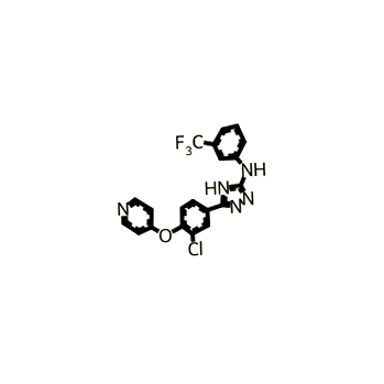 FC(F)(F)c1cccc(Nc2nnc(-c3ccc(Oc4ccncc4)c(Cl)c3)[nH]2)c1